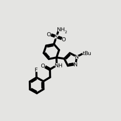 CC(C)(C)n1cc(C2(NC(=O)Cc3ccccc3F)C=CC=C(S(N)(=O)=O)C2)cn1